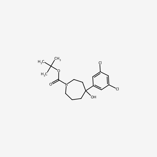 CC(C)(C)OC(=O)N1CCCC(O)(c2cc(Cl)cc(Cl)c2)CC1